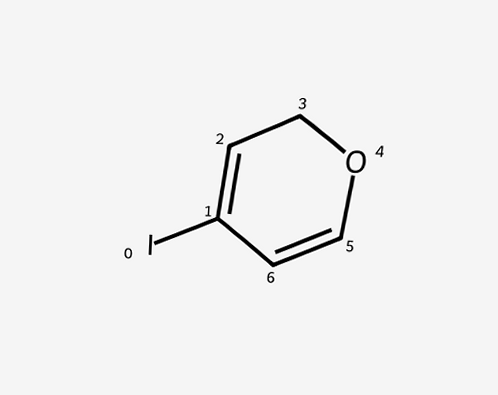 IC1=CCOC=C1